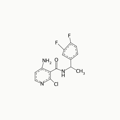 CC(NC(=O)c1c(N)ccnc1Cl)c1ccc(F)c(F)c1